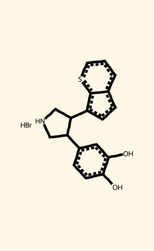 Br.Oc1ccc(C2CNCC2c2ccc3cccsc2-3)cc1O